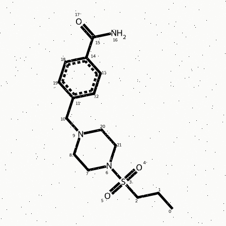 CCCS(=O)(=O)N1CCN(Cc2ccc(C(N)=O)cc2)CC1